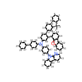 CC1(C)c2ccccc2-c2ccc(-c3ccc(N(c4ccc(-c5ccccc5)cc4)c4ccc(-n5c6ccccc6c6cccnc65)cc4)cc3-c3cccc4c3oc3ccccc34)cc21